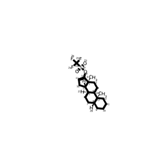 C[C@]12CCC3[C@@H](CC[C@H]4CCCC[C@]34C)[C@@H]1CC=C2OS(=O)(=O)C(F)(F)F